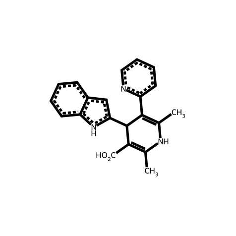 CC1=C(C(=O)O)C(c2cc3ccccc3[nH]2)C(c2ccccn2)=C(C)N1